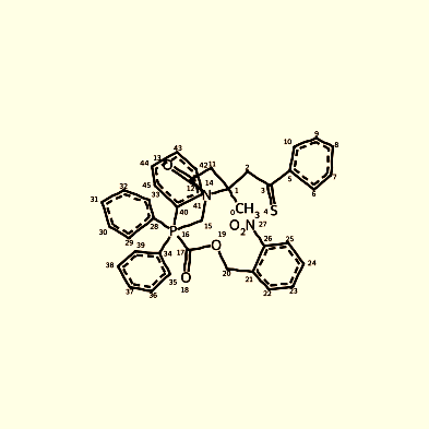 CC1(CC(=S)c2ccccc2)CC(=O)N1CP(C(=O)OCc1ccccc1[N+](=O)[O-])(c1ccccc1)(c1ccccc1)c1ccccc1